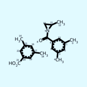 Cc1cc(C)cc(C(=O)N2CC2C)c1.Cc1cc(C)cc(C(=O)O)c1